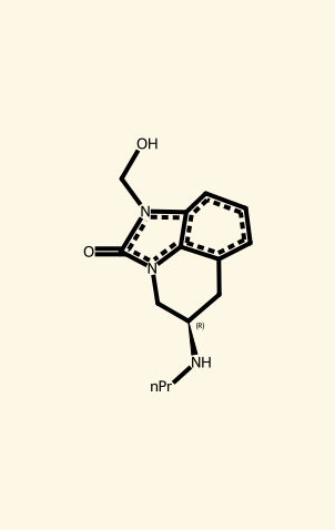 CCCN[C@@H]1Cc2cccc3c2n(c(=O)n3CO)C1